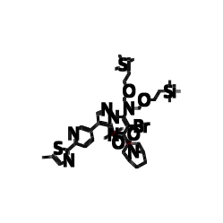 Cc1cnc(-c2ccc(-c3cnn4c(N(COCC[Si](C)(C)C)COCC[Si](C)(C)C)c(Br)c(C5CC6CCC(C5)N6C(=O)OC(C)(C)C)nc34)cn2)s1